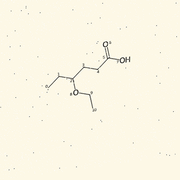 [CH2]CC(CCC(=O)O)OCC